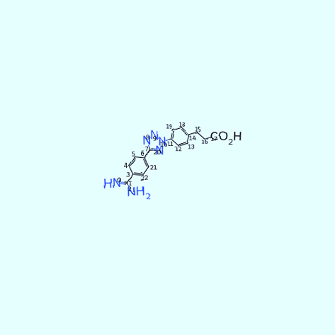 N=C(N)c1ccc(-c2nnn(-c3ccc(CCC(=O)O)cc3)n2)cc1